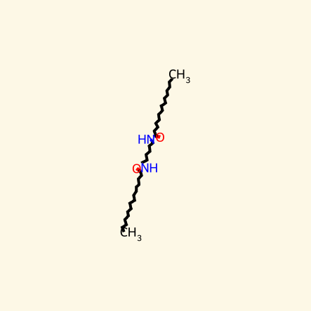 CCCCCCCCCCCCCCCC(=O)NCCCCCCNC(=O)CCCCCCCCCCCCCCC